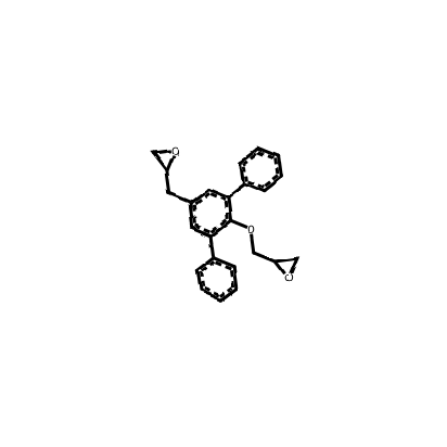 c1ccc(-c2cc(CC3CO3)cc(-c3ccccc3)c2OCC2CO2)cc1